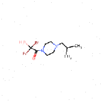 BC(Br)(Br)C(=O)N1CCN(CC(C)C)CC1